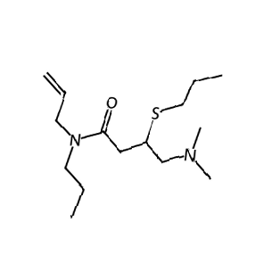 C=CCN(CCC)C(=O)CC(CN(C)C)SCCC